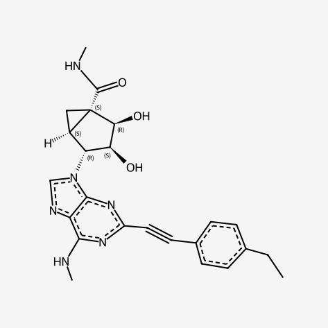 CCc1ccc(C#Cc2nc(NC)c3ncn([C@H]4[C@H](O)[C@H](O)[C@]5(C(=O)NC)C[C@H]45)c3n2)cc1